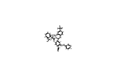 CC(=O)OC(O)(C(=O)OC(Cc1ccc(C(F)(F)F)cc1Br)c1ccc(C#N)c(OCc2cccnc2)c1)c1ccccc1